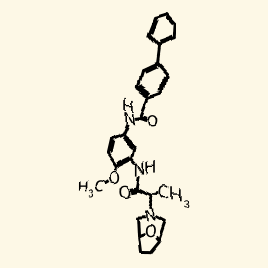 COc1ccc(NC(=O)c2ccc(-c3ccccc3)cc2)cc1NC(=O)[C@@H](C)N1CC2CCC(C1)O2